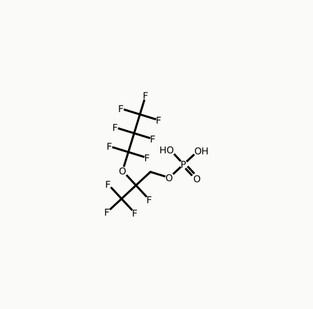 O=P(O)(O)OCC(F)(OC(F)(F)C(F)(F)C(F)(F)F)C(F)(F)F